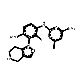 CNc1cc(C)nc(Nc2ccc(OC)c(-n3ncc4c3CCNC4)c2F)n1